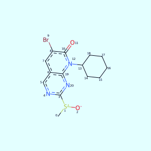 C[S+]([O-])c1ncc2cc(Br)c(=O)n(C3CCCCC3)c2n1